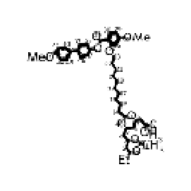 CCC1CC(CC2CC(CC(C)O)OC(CCCCCCCCCCOc3cc(OC)ccc3C(=O)Oc3ccc(-c4ccc(OC)cc4)cc3)O2)OC(C)O1